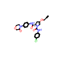 C#CCO[C@@H]1C[C@H](C(=O)Nc2ccc(N3CCOCC3=O)cc2)N(C(=O)Nc2ccc(Cl)cc2)C1